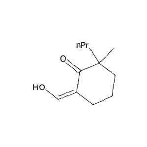 CCCC1(C)CCCC(=CO)C1=O